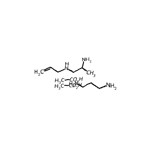 C=CCNCC(C)N.CC(=O)O.CC(=O)O.NCCCN